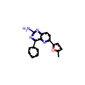 Cc1ccc(-c2ccc3nc(N)nc(-c4ccccc4)c3n2)o1